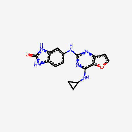 O=c1[nH]c2ccc(Nc3nc(NC4CC4)c4occc4n3)cc2[nH]1